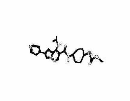 COC(=O)NC1CCC(NC(=O)c2cnn3cc(-c4ccncc4)cc3c2NC(C)C)CC1